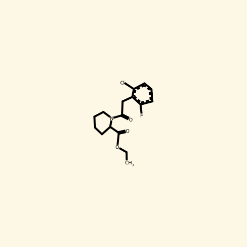 CCOC(=O)C1CCCCN1C(=O)Cc1c(F)cccc1Cl